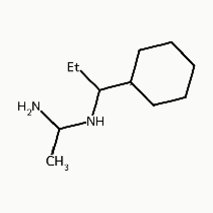 CCC(NC(C)N)[C]1CCCCC1